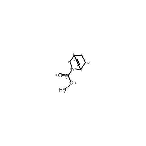 COC(=O)N1CC2C=CC1CC2